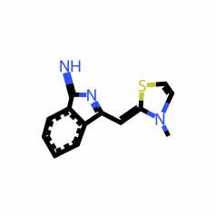 CN1C=CS/C1=C\C1=NC(=N)c2ccccc21